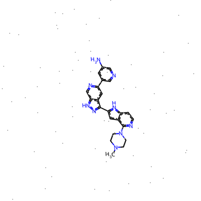 CN1CCN(c2nccc3[nH]c(-c4n[nH]c5cnc(-c6cncc(N)c6)cc45)cc23)CC1